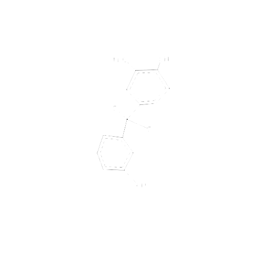 Cc1cccc(C(F)(F)c2ccc(C)c(C)c2)c1